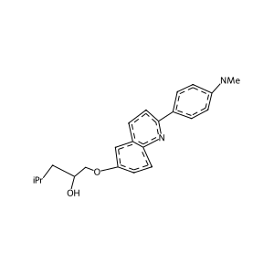 CNc1ccc(-c2ccc3cc(OCC(O)CC(C)C)ccc3n2)cc1